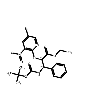 CCOC(=O)[C@H](Oc1ncc(Br)cc1[N+](=O)[O-])[C@H](NC(=O)OC(C)(C)C)c1ccccc1